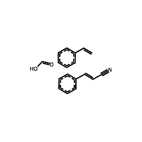 C=Cc1ccccc1.N#CC=Cc1ccccc1.O=CO